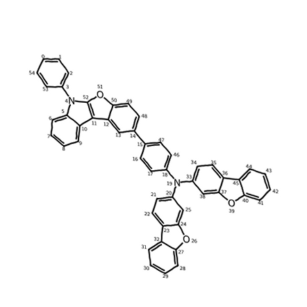 c1ccc(-n2c3ccccc3c3c4cc(-c5ccc(N(c6ccc7c(c6)oc6ccccc67)c6ccc7c(c6)oc6ccccc67)cc5)ccc4oc32)cc1